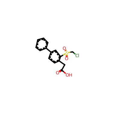 O=C(O)Cc1ccc(-c2ccccc2)cc1S(=O)(=O)CCl